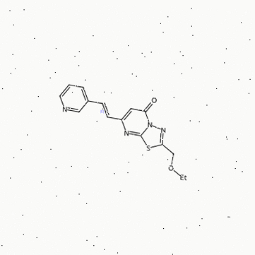 CCOCc1nn2c(=O)cc(/C=C/c3cccnc3)nc2s1